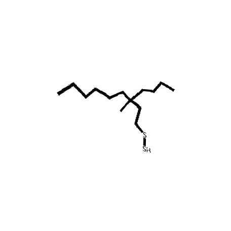 CCCCCCC(C)(CCCC)CCSS